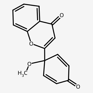 COC1(c2cc(=O)c3ccccc3o2)C=CC(=O)C=C1